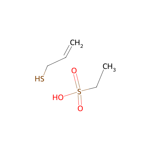 C=CCS.CCS(=O)(=O)O